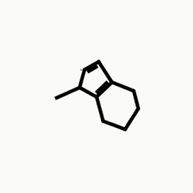 CC1[C]=CC2=C1CCCC2